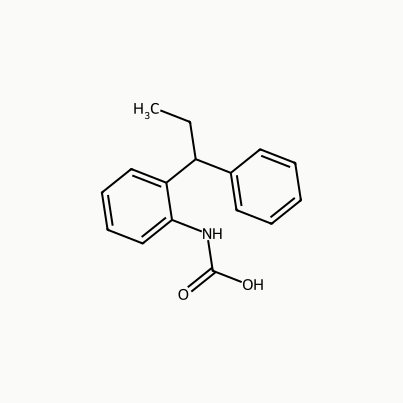 CCC(c1ccccc1)c1ccccc1NC(=O)O